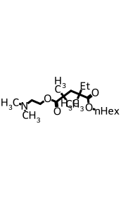 CCCCCCOC(=O)C(C)(CC)CC(C)(C)C(=O)OCCN(C)C